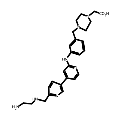 NCCNCc1ccc(-c2ccnc(Nc3cccc(CN4CCN(CC(=O)O)CC4)c3)c2)cn1